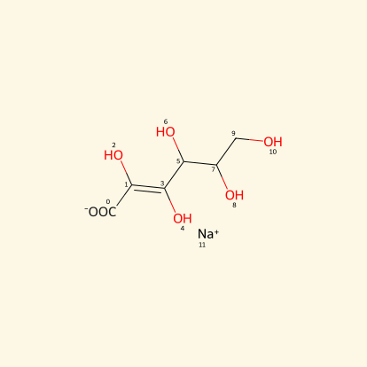 O=C([O-])C(O)=C(O)C(O)C(O)CO.[Na+]